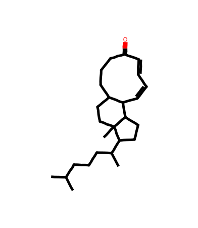 CC(C)CCCC(C)C1CCC2C3/C=C\C=C\C(=O)CCCC3CCC12C